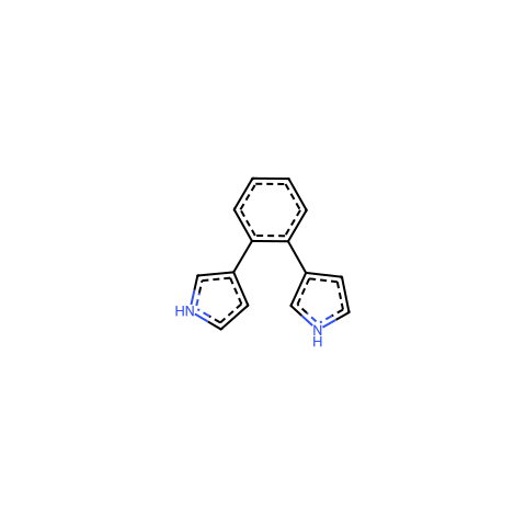 c1ccc(-c2cc[nH]c2)c(-c2cc[nH]c2)c1